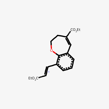 CCOC(=O)/C=C/c1cccc2c1OCCC(C(=O)OCC)=C2